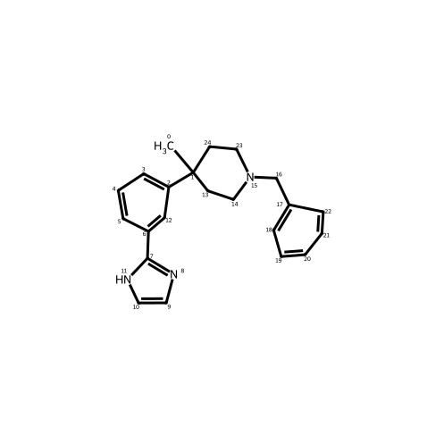 CC1(c2cccc(-c3ncc[nH]3)c2)CCN(Cc2ccccc2)CC1